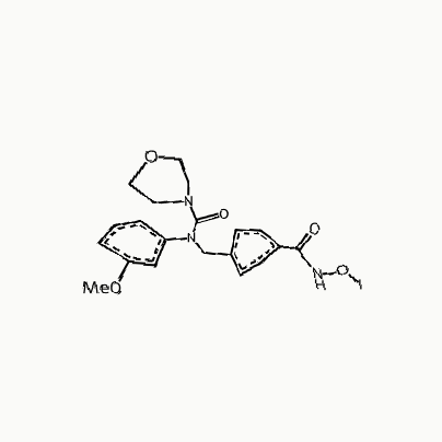 COc1cccc(N(Cc2ccc(C(=O)NOI)cc2)C(=O)N2CCOCC2)c1